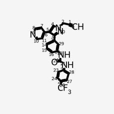 C#CCn1cc(-c2ccncc2)c(-c2cccc(NC(=O)Nc3ccc(C(F)(F)F)cc3)c2)n1